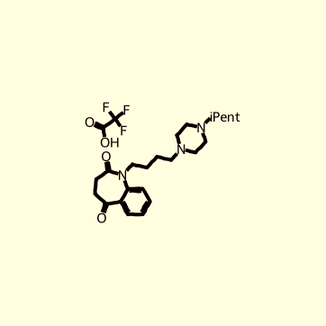 CCCC(C)N1CCN(CCCCN2C(=O)CCC(=O)c3ccccc32)CC1.O=C(O)C(F)(F)F